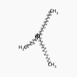 CCCCCCCCCCCCCCCCc1n(CCCCCCCCCCCCCCC)cc[n+]1CCCCCCCC